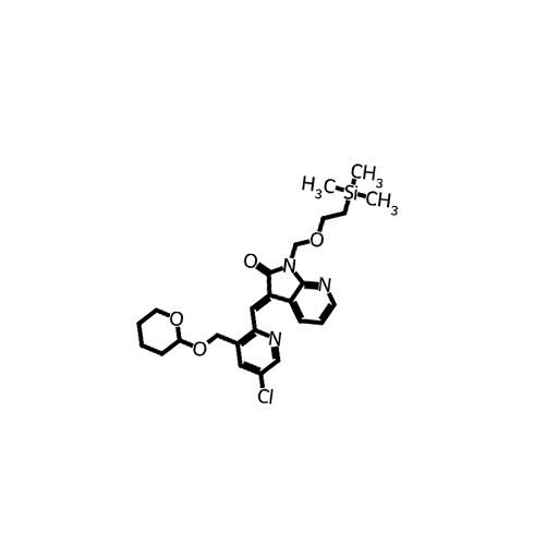 C[Si](C)(C)CCOCN1C(=O)/C(=C/c2ncc(Cl)cc2COC2CCCCO2)c2cccnc21